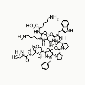 CC(C)[C@H](NC(=O)[C@H](Cc1c[nH]c2ccccc12)NC(=O)[C@@H]1CCCN1C(=O)[C@@H]1CCCN1C(=O)[C@H](Cc1ccccc1)NC(=O)[C@H](CO)NC(=O)CNC(=O)[C@@H](N)CS)C(=O)N[C@@H](CCCCN)C(=O)N[C@@H](CCCCN)C(=O)O